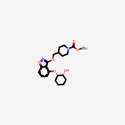 CC(C)(C)OC(=O)N1CCC(COc2noc3cccc(O[C@H]4CCCC[C@H]4O)c23)CC1